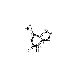 O=c1cc(O)c2sccc2[nH]1